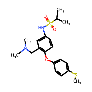 CSc1ccc(Oc2ccc(NS(=O)(=O)C(C)C)cc2CN(C)C)cc1